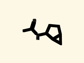 CC(=O)NC1CCC2CC21